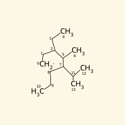 [CH2]CC(CC)C(C)C(CCC)C(C)C